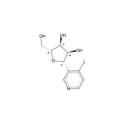 OC[C@H]1O[C@@H](c2cnccc2I)[C@H](O)[C@@H]1O